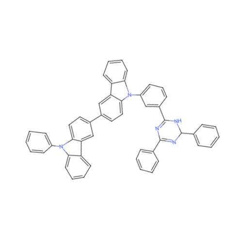 c1ccc(C2=NC(c3ccccc3)NC(c3cccc(-n4c5ccccc5c5cc(-c6ccc7c(c6)c6ccccc6n7-c6ccccc6)ccc54)c3)=N2)cc1